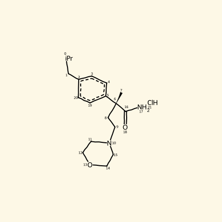 CC(C)Cc1ccc([C@@](C)(CCN2CCOCC2)C(N)=O)cc1.Cl